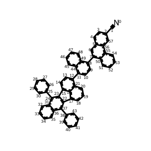 N#Cc1ccc2cc(-c3ccc(-c4ccc5c6c(cccc46)-c4c-5c(-c5ccccc5)c5ccccc5c4-c4ccccc4)c4ccccc34)c3ccccc3c2c1